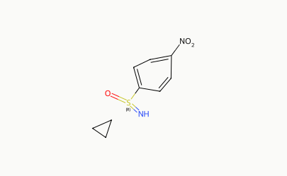 N=[S@](=O)(c1ccc([N+](=O)[O-])cc1)C1CC1